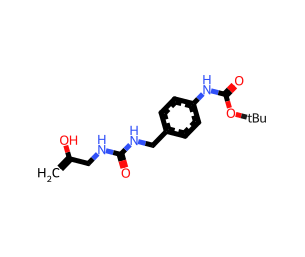 C=C(O)CNC(=O)NCc1ccc(NC(=O)OC(C)(C)C)cc1